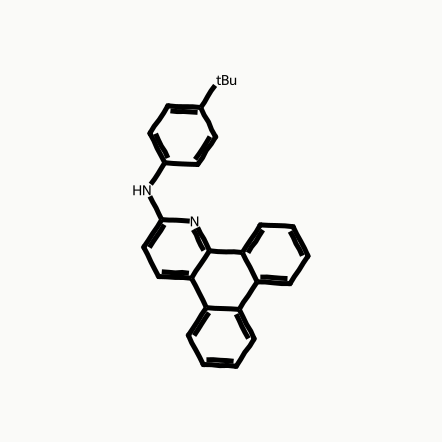 CC(C)(C)c1ccc(Nc2ccc3c4ccccc4c4ccccc4c3n2)cc1